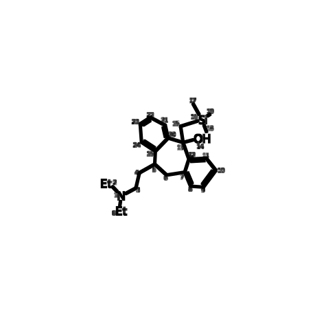 CCN(CC)CCC1Cc2ccccc2C(O)(C[Si](C)(C)C)c2ccccc21